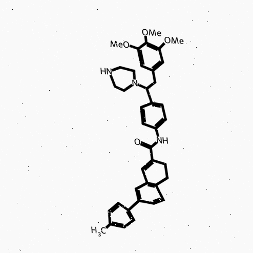 COc1cc(CC(c2ccc(NC(=O)C3=Cc4cc(-c5ccc(C)cc5)ccc4CC3)cc2)N2CCNCC2)cc(OC)c1OC